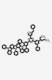 C=C/C=C(\C=C)c1cc(-c2ccccc2)cc(-c2nc(/C(C=C)=C/C=C/c3ccccc3)nc(-c3cc(-c4ccccc4)c(-n4c5ccccc5c5c4ccc4c6ccc7c(c8ccccc8n7-c7ccccc7)c6n(-c6ccccc6)c45)c(-c4ccccc4)c3)n2)c1